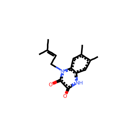 CC(C)=CCn1c(=O)c(=O)[nH]c2cc(C)c(C)cc21